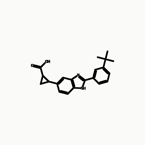 CC(C)(C)c1cccc(-c2nc3cc(C4CC4C(=O)O)ccc3[nH]2)c1